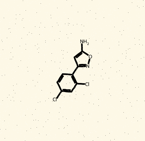 Nc1cc(-c2ccc(Cl)cc2Cl)no1